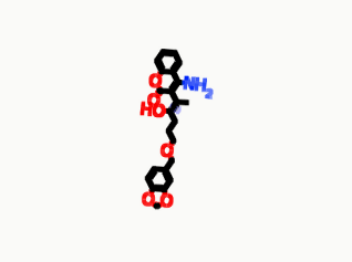 C/C(=C(/O)CCCOCc1ccc2c(c1)OCO2)c1c(N)c2ccccc2oc1=O